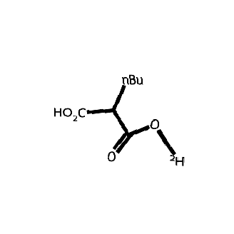 [2H]OC(=O)C(CCCC)C(=O)O